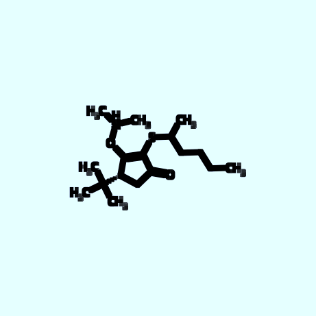 CCCCC(C)SC1=C(O[SiH](C)C)[C@@H](C(C)(C)C)CC1=O